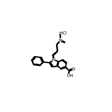 CN(C)CCCn1c(-c2ccccc2)cc2cc(C(=O)O)ccc21.Cl